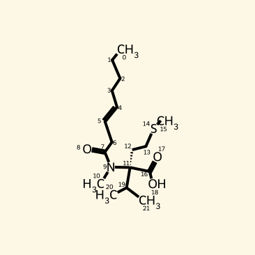 CCCC/C=C/CC(=O)N(C)[C@@](CCSC)(C(=O)O)C(C)C